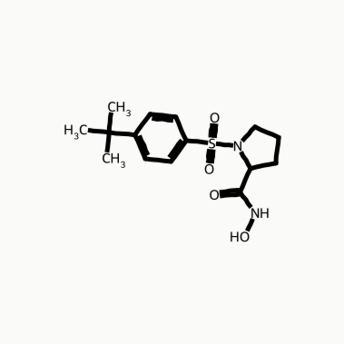 CC(C)(C)c1ccc(S(=O)(=O)N2CCCC2C(=O)NO)cc1